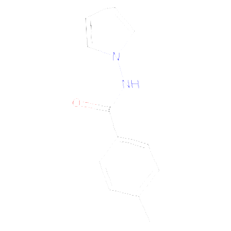 Cc1ccc(C(=O)Nn2cccc2)cc1